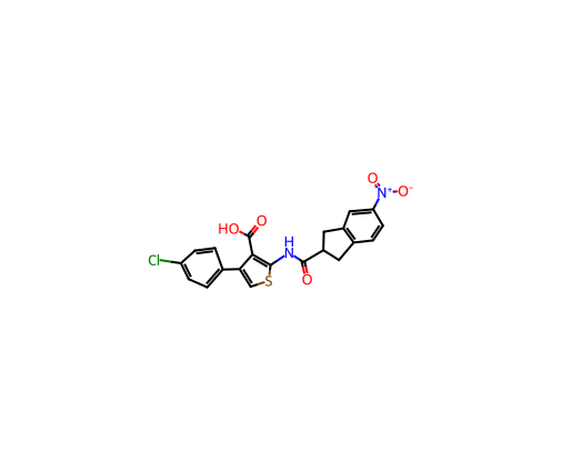 O=C(O)c1c(-c2ccc(Cl)cc2)csc1NC(=O)C1Cc2ccc([N+](=O)[O-])cc2C1